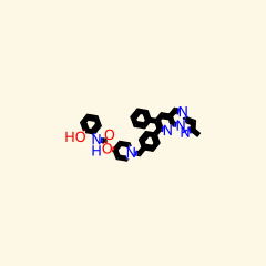 Cc1cc2ncc3cc(-c4ccccc4)c(-c4ccc(CN5CCC(OC(=O)Nc6ccccc6O)CC5)cc4)nc3n2n1